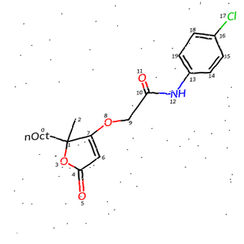 CCCCCCCCC1(C)OC(=O)C=C1OCC(=O)Nc1ccc(Cl)cc1